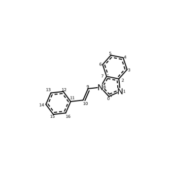 [c]1nc2ccccc2n1C=Cc1ccccc1